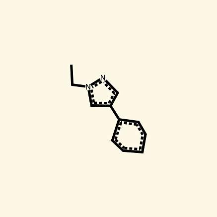 CCn1cc(-c2[c]cccc2)cn1